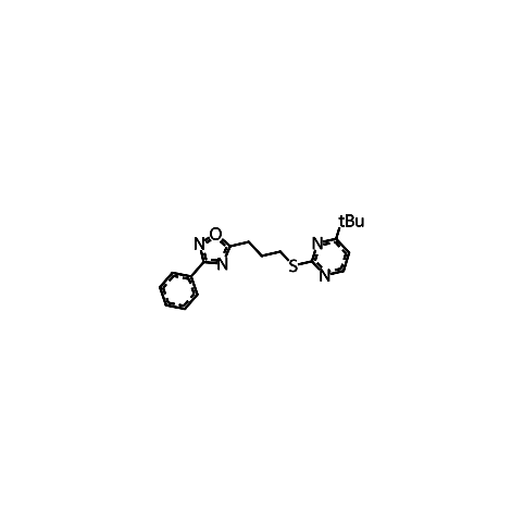 CC(C)(C)c1ccnc(SCCCc2nc(-c3ccccc3)no2)n1